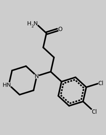 NC(=O)CCC(c1ccc(Cl)c(Cl)c1)N1CCNCC1